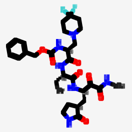 CCCCNC(=O)C(=O)[C@H](C[C@@H]1CCNC1=O)NC(=O)[C@H](CC(C)C)NC(=O)[C@H](CN1CCC(F)(F)CC1)NC(=O)OCc1ccccc1